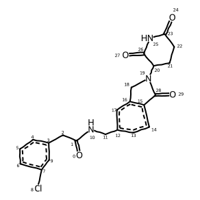 O=C(Cc1cccc(Cl)c1)NCc1ccc2c(c1)CN(C1CCC(=O)NC1=O)C2=O